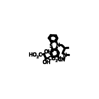 CC(CN(C)C)CN1c2ccccc2Sc2ccc(C#N)cc21.O=C(O)C(O)C(O)C(=O)O